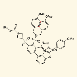 COc1ccc(CN(Cc2ccc(OC)cc2)S(=O)(=O)c2c(S(=O)(=O)C3CN(C(=O)OC(C)(C)C)C3)ccc(-c3cccc4sc(C#N)nc34)c2-c2nnn(Cc3ccc(OC)cc3)n2)cc1